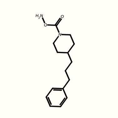 NOC(=O)N1CCC(CCCc2ccccc2)CC1